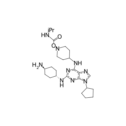 CC(C)NC(=O)ON1CCC(Nc2nc(N[C@H]3CC[C@H](N)CC3)nc3c2ncn3C2CCCC2)CC1